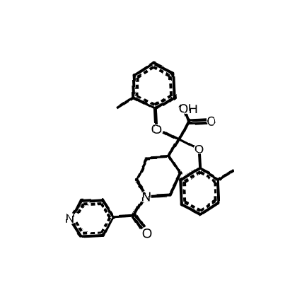 Cc1ccccc1OC(Oc1ccccc1C)(C(=O)O)C1CCN(C(=O)c2ccncc2)CC1